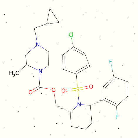 CC1CN(CC2CC2)CCN1C(=O)OC[C@H]1CCC[C@@H](c2cc(F)ccc2F)N1S(=O)(=O)c1ccc(Cl)cc1